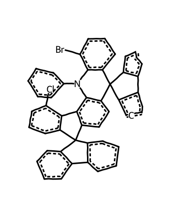 Clc1cccc2c1-c1c(ccc3c1N(c1ccccc1)c1c(Br)cccc1C31c3ccccc3-c3ccccc31)C21c2ccccc2-c2ccccc21